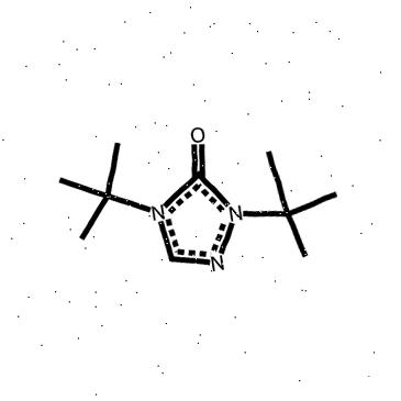 CC(C)(C)n1cnn(C(C)(C)C)c1=O